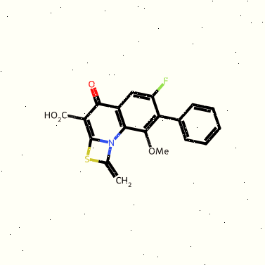 C=c1sc2c(C(=O)O)c(=O)c3cc(F)c(-c4ccccc4)c(OC)c3n12